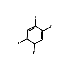 F[C]1C=C(F)C(F)=CC1F